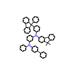 CC1(C)c2ccccc2-c2cc(N(c3cccc(N(c4ccccc4)c4ccc(-c5ccccc5)cc4)c3)c3cccc(C4(c5ccccc5)c5ccccc5-c5ccccc54)c3)ccc21